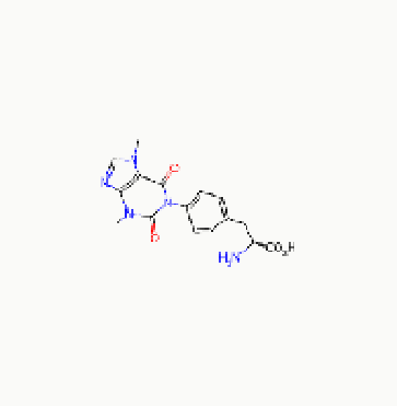 Cn1cnc2c1c(=O)n(-c1ccc(C[C@H](N)C(=O)O)cc1)c(=O)n2C